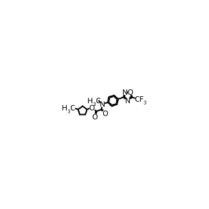 CC1CCC(OC(=O)C(=O)N(C)c2ccc(-c3noc(C(F)(F)F)n3)cc2)C1